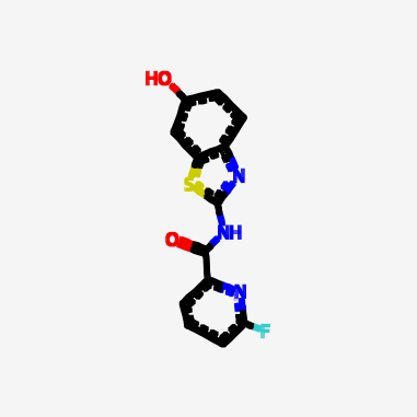 O=C(Nc1nc2ccc(O)cc2s1)c1cccc(F)n1